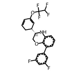 Fc1cc(F)cc(-c2cccc3c2OC[C@H](C2C=C(OC(F)(F)C(F)F)C=CC2)N3)c1